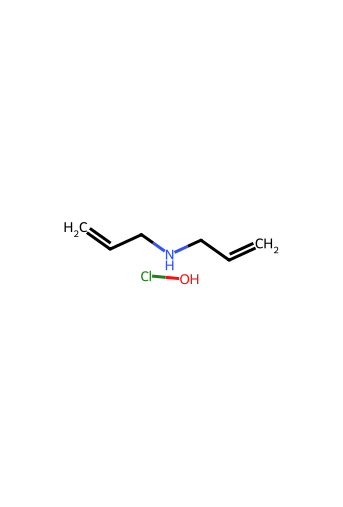 C=CCNCC=C.OCl